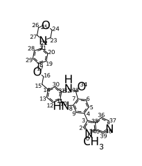 Cn1cc(-c2ccc3c(c2)Nc2ccc(CCOc4ccc(N5CCOCC5)cc4)cc2NC3=O)c2ccncc21